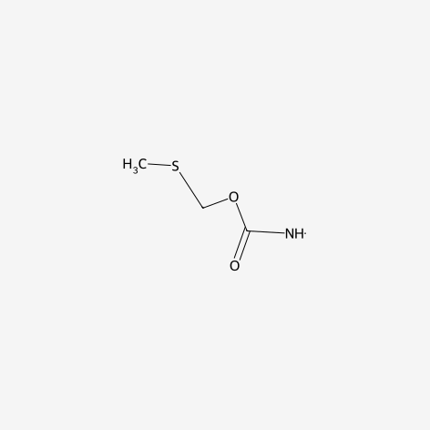 CSCOC([NH])=O